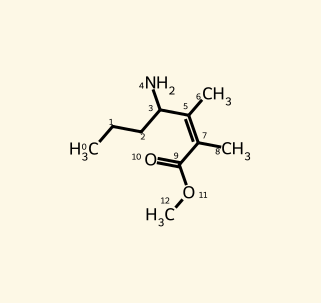 CCCC(N)C(C)=C(C)C(=O)OC